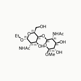 CCO[C@@H]1O[C@@H](CO)[C@@H](O[C@@H]2O[C@H](OC)[C@@H](O)[C@H](O)[C@H]2NC(C)=O)[C@@H](O)[C@@H]1NC(C)=O